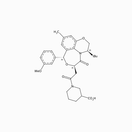 COc1cccc([C@H]2O[C@H](CC(=O)N3CCCC(C(=O)O)C3)C(=O)N3c4c(cc(C)cc42)OC[C@H]3C(C)(C)C)c1